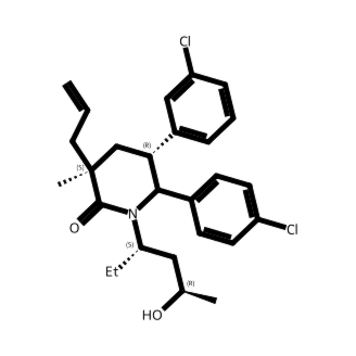 C=CC[C@@]1(C)C[C@H](c2cccc(Cl)c2)C(c2ccc(Cl)cc2)N([C@@H](CC)C[C@@H](C)O)C1=O